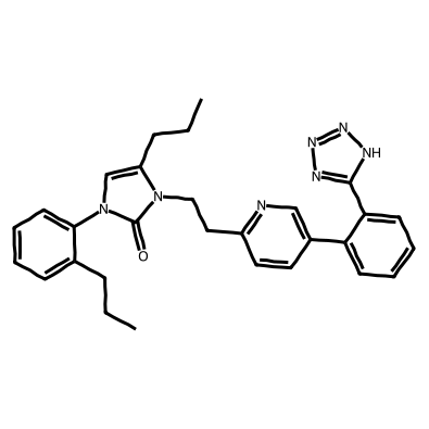 CCCc1ccccc1-n1cc(CCC)n(CCc2ccc(-c3ccccc3-c3nnn[nH]3)cn2)c1=O